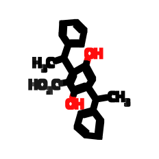 CC(c1ccccc1)c1cc(O)c(C(C)c2ccccc2)c(C(=O)O)c1O